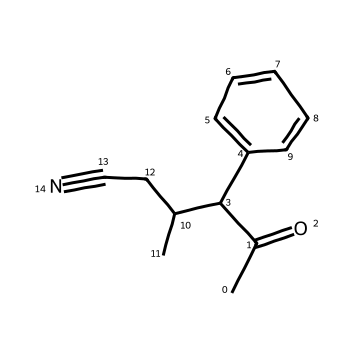 CC(=O)C(c1ccccc1)C(C)CC#N